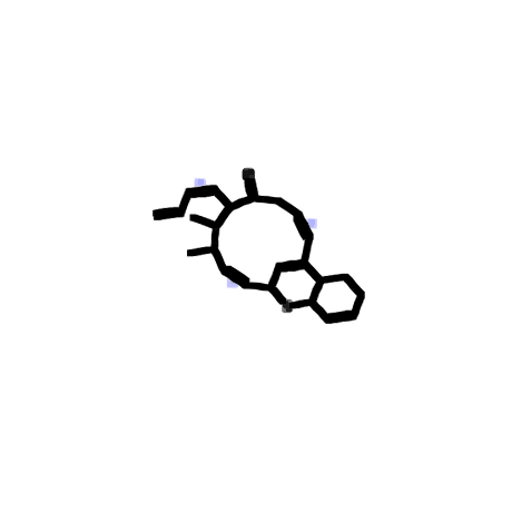 C=C/C=C\C1C(=O)C/C=C\C2=CC(/C=C\C(C)C1C)SC1C=CCCC21